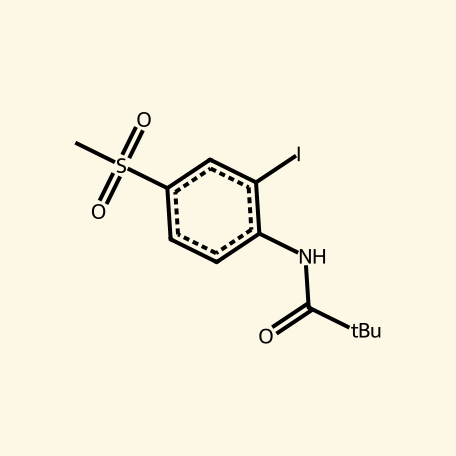 CC(C)(C)C(=O)Nc1ccc(S(C)(=O)=O)cc1I